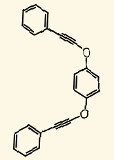 C(#Cc1ccccc1)Oc1ccc(OC#Cc2ccccc2)cc1